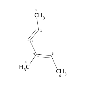 CC=[C]C(C)=CC